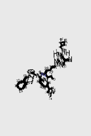 CCC/C(=C\N(C(=O)NCc1ccccc1)c1ccc(-c2cnn(C)c2)cn1)CCCCNc1ncc(C#N)c(NCC2CC(F)(F)C2)n1